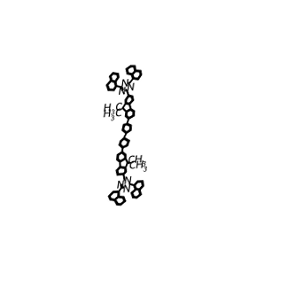 CC1(C)c2cc(-c3ccc(-c4ccc(-c5ccc6c(c5)C(C)(C)c5cc(-c7nc(-c8cccc9ccccc89)nc(-c8cccc9ccccc89)n7)ccc5-6)cc4)cc3)ccc2-c2ccc(-c3nc(-c4cccc5ccccc45)nc(-c4cccc5ccccc45)n3)cc21